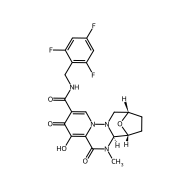 CN1C(=O)c2c(O)c(=O)c(C(=O)NCc3c(F)cc(F)cc3F)cn2N2C[C@@H]3CC[C@@H](O3)[C@@H]12